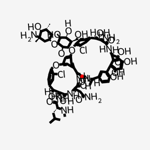 CN[C@H](CC(C)C)C(=O)N[C@H]1C(=O)N[C@@H](CC(N)=O)C(=O)N[C@H]2C(=O)N[C@@H](C)c3ccc(O)c(c3)-c3c(O)cc(O)cc3[C@@H](C(=O)O)NC(=O)[C@@H](N)[C@H](O)c3ccc(c(Cl)c3)Oc3cc2cc(c3O[C@@H]2C[C@H](CO)[C@@H](O)[C@H](O)[C@H]2O[C@@H]2C[C@@H](C)[C@@H](O)[C@@](C)(N)C2)Oc2ccc(cc2Cl)[C@H]1O